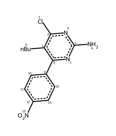 CCCCc1c(Cl)nc(N)nc1-c1ccc([N+](=O)[O-])cc1